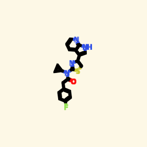 O=C(Cc1ccc(F)cc1)N(C1=NC(c2c[nH]c3ncccc23)CS1)C1CC1